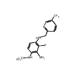 Nc1c(NC(=O)O)ccc(NCc2ccc(C(F)(F)F)cn2)c1F